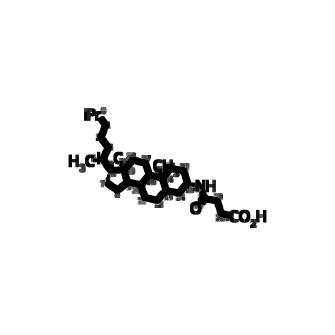 CC(C)CCC[C@@H](C)[C@H]1CCC2C3CCC4C[C@@H](NC(=O)CCC(=O)O)CC[C@]4(C)C3CC[C@@]21C